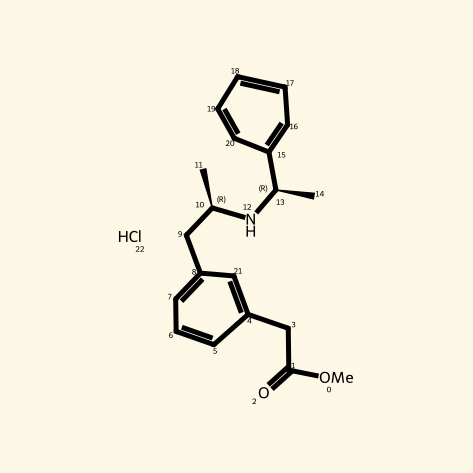 COC(=O)Cc1cccc(C[C@@H](C)N[C@H](C)c2ccccc2)c1.Cl